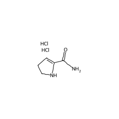 Cl.Cl.NC(=O)C1=CCCN1